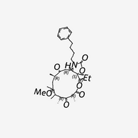 CC[C@H]1OC(=O)[C@H](C)C(=O)[C@H](C)C(C)[C@](C)(OC)C[C@@H](C)C(=O)[C@H](C)[C@H]2N(CCCCc3ccccc3)C(=O)O[C@]12C